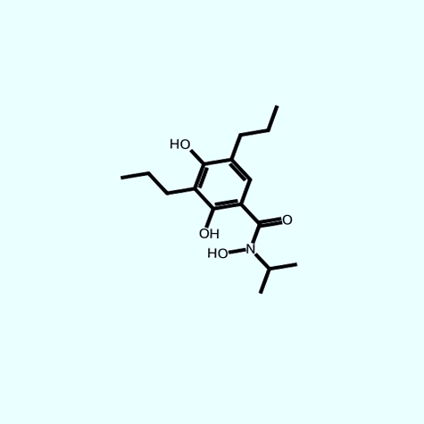 CCCc1cc(C(=O)N(O)C(C)C)c(O)c(CCC)c1O